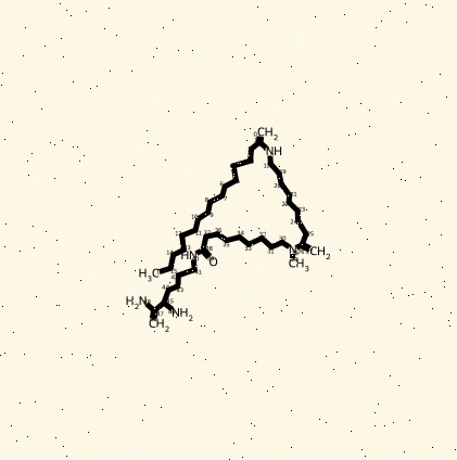 C=C(CCCCCCCCCCCCCCC)NCCCCCCCCC(=C)N(C)CCCCCCCCC(=O)NCCCCC(N)C(=C)N